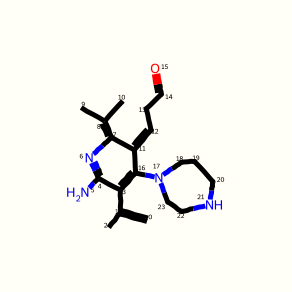 C=C(C)c1c(N)nc(=C(C)C)/c(=C\CC=O)c1N1CCCNCC1